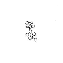 c1ccc(N2c3ccccc3C(c3ccccc3)(c3ccc(N4c5ccccc5C5(c6ccccc6-c6ccccc65)c5ccccc54)cc3)c3ccccc32)cc1